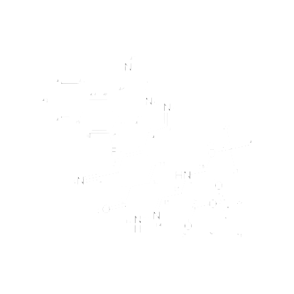 Cn1ncc(-c2cc(C#N)c3c(=O)[nH]nc(C(NC(=O)OC(C)(C)C)C(=O)OC(C)(C)C)c3c2)c1-c1c(F)cc2ccccc2c1C#N